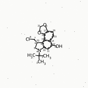 CC(C)(C)N1C[C@@H](CCl)c2c1cc(O)c1ccc3c(c21)OCO3